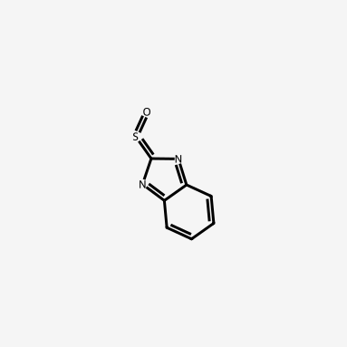 O=S=C1N=c2ccccc2=N1